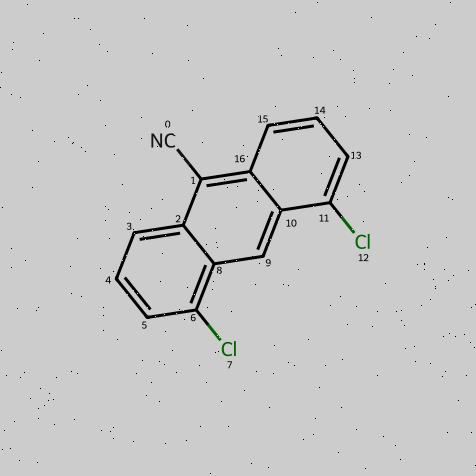 N#Cc1c2cccc(Cl)c2cc2c(Cl)cccc12